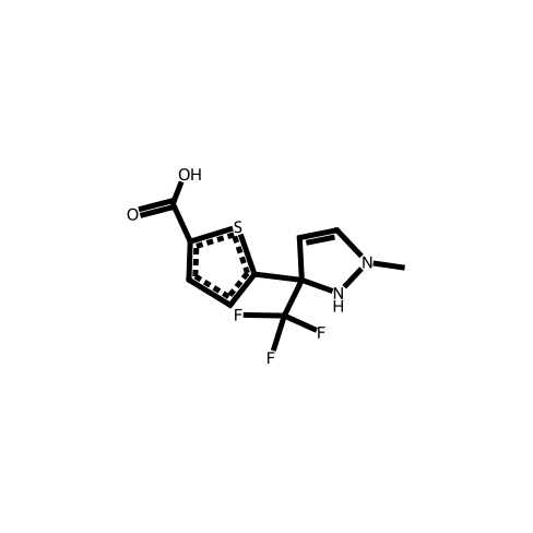 CN1C=CC(c2ccc(C(=O)O)s2)(C(F)(F)F)N1